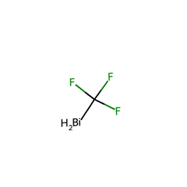 F[C](F)(F)[BiH2]